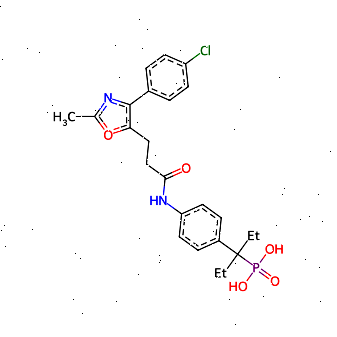 CCC(CC)(c1ccc(NC(=O)CCc2oc(C)nc2-c2ccc(Cl)cc2)cc1)P(=O)(O)O